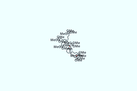 CCN(CCC[Si](CCC[Si](OC)(OC)OC)(CCC[Si](OC)(OC)OC)CCC[Si](OC)(OC)OC)CCC[Si](CCC[Si](OC)(OC)OC)(CCC[Si](OC)(OC)OC)CCC[Si](OC)(OC)OC